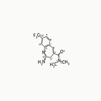 CN(C)C(=O)C1=Cc2ccc(C(F)(F)F)cc2N=C(N)C1